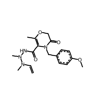 C=CN(C)N(C)NC(=O)C1=C(C)OCC(=O)N1Cc1ccc(OC)cc1